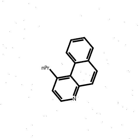 CCCc1ccnc2ccc3ccccc3c12